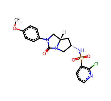 O=C1N(c2ccc(OC(F)(F)F)cc2)C[C@@H]2C[C@H](NS(=O)(=O)c3cccnc3Cl)CN12